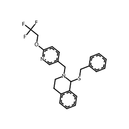 FC(F)(F)COc1ccc(CN2CCc3ccccc3C2SCc2ccccc2)cn1